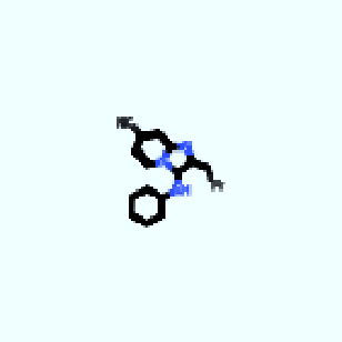 CC(C)CC1N=C2C=C(C#N)C=CN2C1NC1CCCCC1